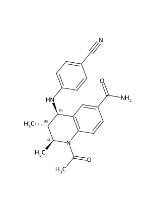 CC(=O)N1c2ccc(C(N)=O)cc2[C@H](Nc2ccc(C#N)cc2)[C@@H](C)[C@@H]1C